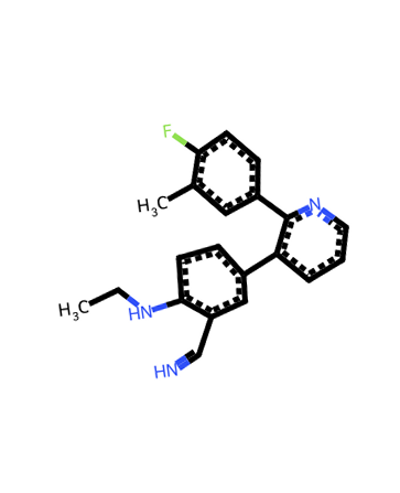 CCNc1ccc(-c2cccnc2-c2ccc(F)c(C)c2)cc1C=N